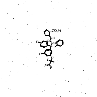 O=C(NC1CCC[C@@H]1C(=O)O)N[C@](Cc1ccccc1)(c1ccc(F)cc1)c1cc(F)cc(OC(F)(F)C(F)F)c1